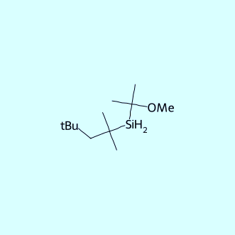 COC(C)(C)[SiH2]C(C)(C)CC(C)(C)C